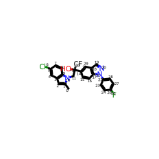 Cc1cc2cc(Cl)ccc2n1CC(O)(c1ccc2c(cnn2-c2ccc(F)cc2)c1)C(F)(F)F